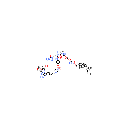 CCCCc1nc2c(N)nc3cc(CCCN4CCN(C(=O)OCc5ccc(NC(=O)[C@H](CCCNC(N)=O)NC(=O)[C@@H](NC(=O)COCCOCCNC(=O)O[C@H]6CC[C@@]7(C)C(=CC[C@H]8[C@@H]9CC[C@H]([C@H](C)CCCC(C)C)[C@@]9(C)CC[C@@H]87)C6)C(C)C)cc5)CC4)ccc3c2n1CC(C)(CO)CO